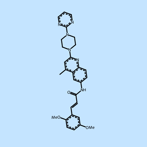 COc1ccc(OC)c(/C=C/C(=O)Nc2ccc3nc(N4CCN(c5ncccn5)CC4)cc(C)c3c2)c1